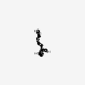 CCc1c(F)ccc2cc(O)cc(-c3ncc4c(N5CCC[C@@H](O)CC5)nc(OCC5(CN6CCC7(CC6)CC(CN6CCN(c8ccc9c(c8)CN([C@H]8CCC(=O)NC8=O)C9=O)CC6)C7)CC5)nc4c3F)c12